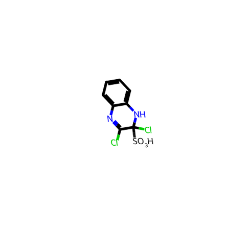 O=S(=O)(O)C1(Cl)Nc2ccccc2N=C1Cl